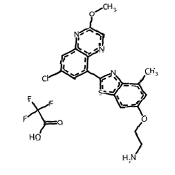 COc1cnc2c(-c3nc4c(C)cc(OCCN)cc4s3)cc(Cl)cc2n1.O=C(O)C(F)(F)F